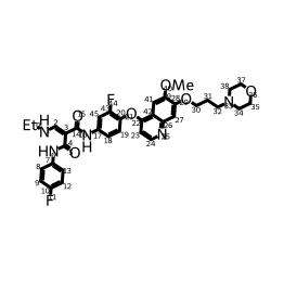 CCN/C=C(\C(=O)Nc1ccc(F)cc1)C(=O)Nc1ccc(Oc2ccnc3cc(OCCCN4CCOCC4)c(OC)cc23)c(F)c1